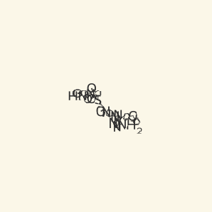 Nc1ncnc2c1c(-c1ccc(Oc3ccccc3)cc1)nn2C1CCN(C(=O)CCCSc2cccc3c2C(=O)N(C2CCC(=O)NC2=O)C3=O)CC1